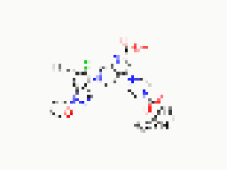 Cc1cc2c(cnn2C2CCCCO2)c(N2CCc3c(N4CCN(C(=O)OC(C)(C)C)CC4)cc(C(=O)O)nc3C2)c1Cl